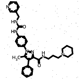 Cc1c(-c2ccccc2)c(C(=O)NCCCN2CCCCC2)nn1-c1ccc(NC(=O)NCc2cccnc2)cc1